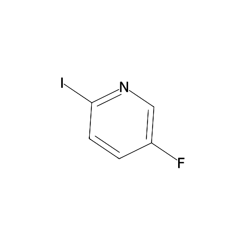 Fc1ccc(I)nc1